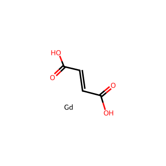 O=C(O)/C=C/C(=O)O.[Gd]